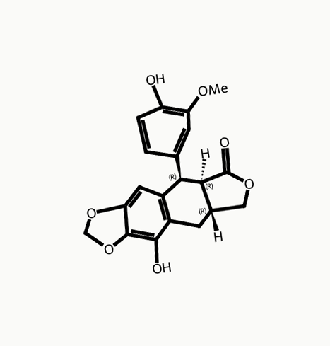 COc1cc([C@@H]2c3cc4c(c(O)c3C[C@H]3COC(=O)[C@@H]32)OCO4)ccc1O